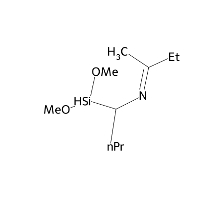 CCCC(N=C(C)CC)[SiH](OC)OC